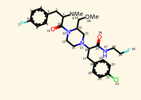 CNC(Cc1ccc(F)cc1)C(=O)N1CCN(C(Cc2ccc(Cl)cc2)C(=O)NCCF)CC1COC